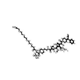 C#CCOCCOCCOCCOCCC(=O)N[C@@H](CS(=O)(=O)O)C(=O)N1CCN(CCNC(=O)c2ncn(/C(N=C)=c3\[nH]cc(C(=O)C(=O)N4CCC(=C(C#N)c5ccccc5)CC4)\c3=C(\C)OC)n2)CC1